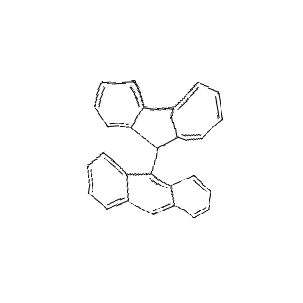 c1ccc2c(c1)-c1ccccc1C2c1c2ccccc2cc2ccccc12